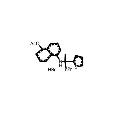 Br.CCCC(C)(Nc1cccc2c(OC(C)=O)cccc12)c1cccs1